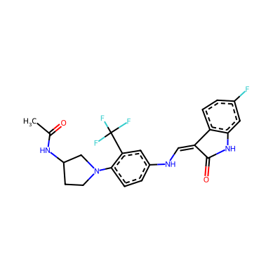 CC(=O)NC1CCN(c2ccc(NC=C3C(=O)Nc4cc(F)ccc43)cc2C(F)(F)F)C1